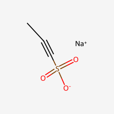 CC#CS(=O)(=O)[O-].[Na+]